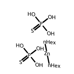 CCCCC[CH2][Zn][CH2]CCCCC.OP(O)(O)=S.OP(O)(O)=S